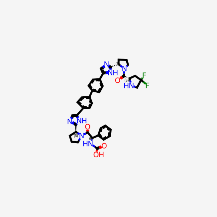 O=C(O)N[C@@H](C(=O)N1CCC[C@H]1c1ncc(-c2ccc(-c3ccc(-c4cnc([C@@H]5CCCN5C(=O)[C@@H]5CC(F)(F)CN5)[nH]4)cc3)cc2)[nH]1)c1ccccc1